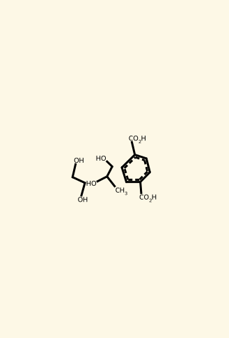 CC(O)CO.O=C(O)c1ccc(C(=O)O)cc1.OCCO